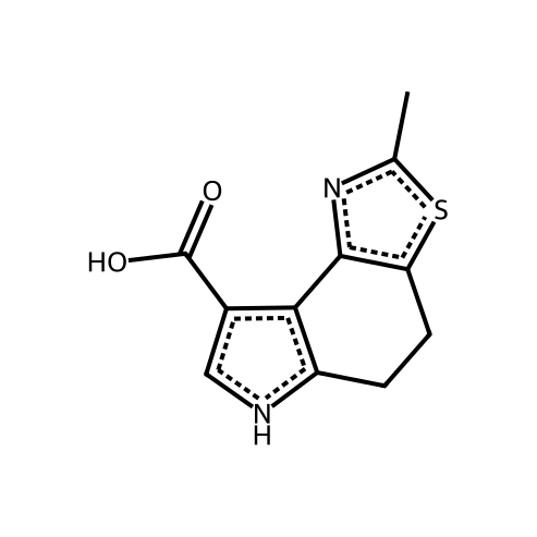 Cc1nc2c(s1)CCc1[nH]cc(C(=O)O)c1-2